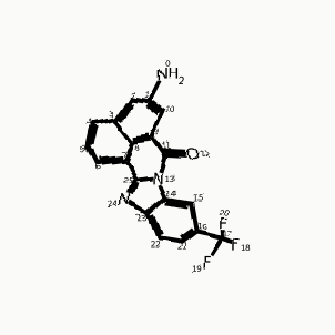 Nc1cc2cccc3c2c(c1)c(=O)n1c2cc(C(F)(F)F)ccc2nc31